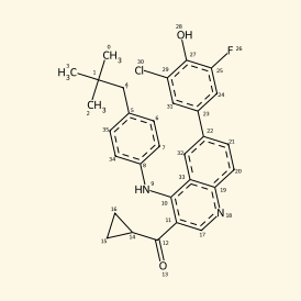 CC(C)(C)[CH]c1ccc(Nc2c(C(=O)C3CC3)cnc3ccc(-c4cc(F)c(O)c(Cl)c4)cc23)cc1